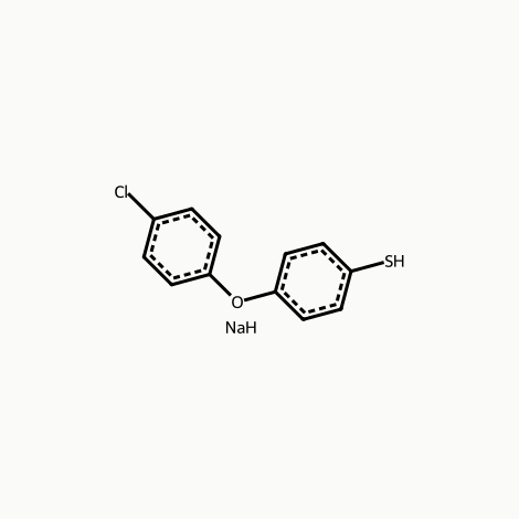 Sc1ccc(Oc2ccc(Cl)cc2)cc1.[NaH]